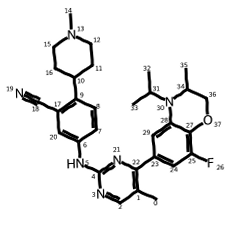 Cc1cnc(Nc2ccc(C3CCN(C)CC3)c(C#N)c2)nc1-c1cc(F)c2c(c1)N(C(C)C)C(C)CO2